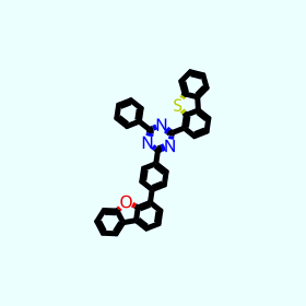 c1ccc(-c2nc(-c3ccc(-c4cccc5c4oc4ccccc45)cc3)nc(-c3cccc4c3sc3ccccc34)n2)cc1